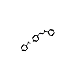 O=C(/C=C/c1ccc(OC(=O)c2ccc(O)cc2)cc1)c1ccccc1